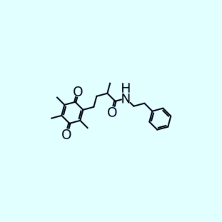 CC1=C(C)C(=O)C(CCC(C)C(=O)NCCc2ccccc2)=C(C)C1=O